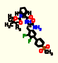 CC(C)(C)OC(=O)N1[C@@H]2CC[C@@H](C2)[C@H]1C(=O)N[C@@H](Cc1ccc(-c2ccc(S(C)(=O)=O)cc2)c(F)c1F)C(N)=O